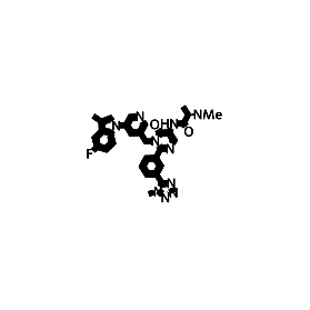 CN[C@@H](C)C(=O)Nc1cnc(-c2cccc(-c3nnnn3C)c2)n(Cc2cncc(-n3cc(C)c4cc(F)ccc43)c2)c1=O